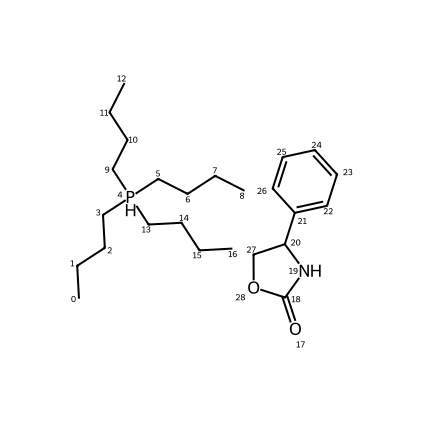 CCCC[PH](CCCC)(CCCC)CCCC.O=C1NC(c2ccccc2)CO1